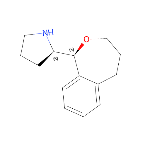 c1ccc2c(c1)CCCO[C@@H]2[C@H]1CCCN1